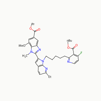 CCCCOC(=O)c1c(F)ccnc1CCCCCn1c(-c2nc3cc(C(=O)OC(C)C)cc(OC)c3n2C)cc2ccc(CC)nc21